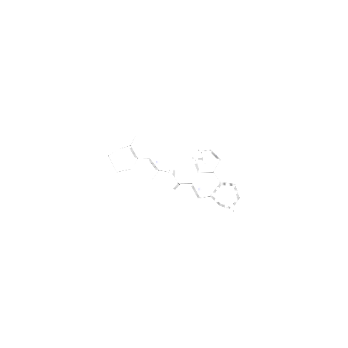 CC1=C(/C=C(\C)NC(=O)/C=C/c2cnccc2C(C=N)/C=C\N)OCCO1